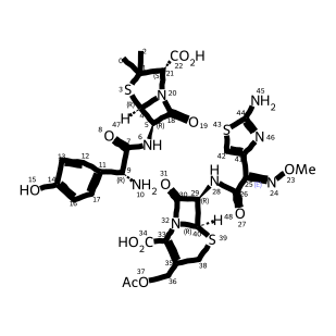 CC1(C)S[C@@H]2[C@H](NC(=O)[C@H](N)c3ccc(O)cc3)C(=O)N2[C@H]1C(=O)O.CO/N=C(/C(=O)N[C@@H]1C(=O)N2C(C(=O)O)=C(COC(C)=O)CS[C@H]12)c1csc(N)n1